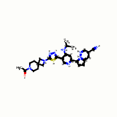 CC(=O)N1CCC2(CC1)CN(c1nnc(-c3cnc(-c4ccc5cc(C#N)cnn45)cc3NC(C)C)s1)C2